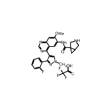 COc1cc2ncnc(-c3cn(C)nc3-c3ccccc3F)c2cc1NC(=O)C12CNCC1C2.O=C(O)C(F)(F)F